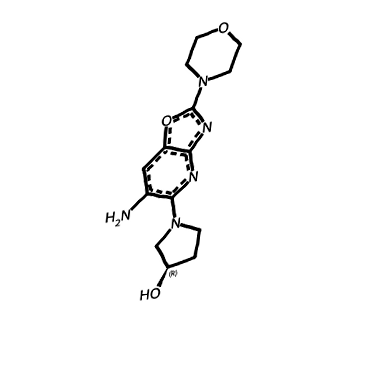 Nc1cc2oc(N3CCOCC3)nc2nc1N1CC[C@@H](O)C1